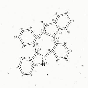 c1cnc2c(c1)nc1c3ccccc3n3c4ncccc4nc3c3ccccc3n21